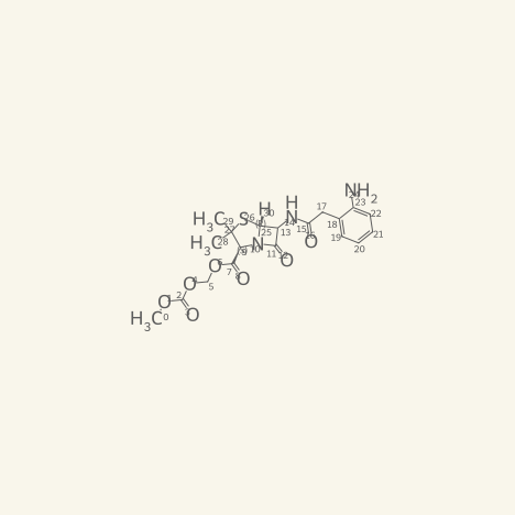 COC(=O)OCOC(=O)[C@@H]1N2C(=O)C(NC(=O)Cc3ccccc3N)[C@H]2SC1(C)C